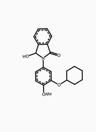 COc1ccc(N2C(=O)c3ccccc3C2O)cc1OC1CCCCC1